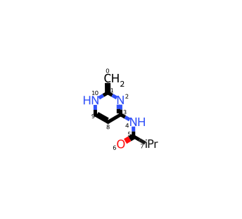 C=C1N=C(NC(=O)C(C)C)C=CN1